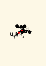 CC(C)(C)OCCCCCC[Si](C)(C1c2ccccc2-c2ccc(Cc3ccccc3)cc21)C1c2ccccc2-c2ccc(Cc3ccccc3)cc21